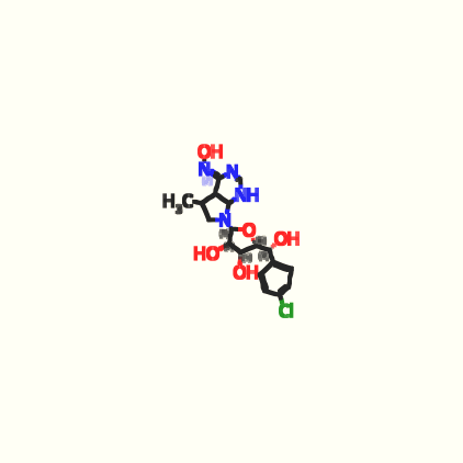 CC1CN([C@@H]2O[C@H]([C@H](O)c3ccc(Cl)cc3)[C@@H](O)[C@H]2O)C2NC=N/C(=N\O)C12